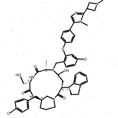 C[C@H]1C(=O)N[C@@H](CO)C(=O)N[C@@]2(Cc3ccc(Cl)cc3)CCCN(C2)C(=O)[C@H]([C@@H]2CCc3ccccc32)CC(O)N1Cc1ccc(Cl)cc1Oc1ccc(-c2cnc(C3CN(C)C3)n2C)cc1